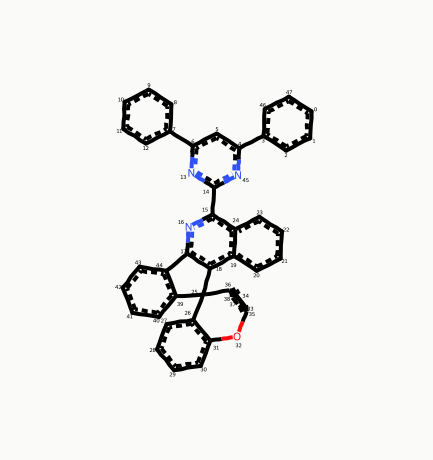 c1ccc(-c2cc(-c3ccccc3)nc(-c3nc4c(c5ccccc35)C3(c5ccccc5Oc5ccccc53)c3ccccc3-4)n2)cc1